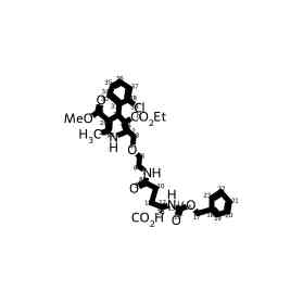 CCOC(=O)C1=C(COCCNC(=O)CC[C@H](NC(=O)OCc2ccccc2)C(=O)O)NC(C)=C(C(=O)OC)C1c1ccccc1Cl